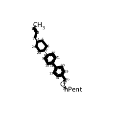 CC=CC[C@H]1CC[C@H](c2ccc(-c3ccc(COCCCCC)cc3)cc2)CC1